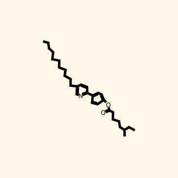 CCCCCCCCCCCc1ccc(-c2ccc(OC(=O)CCCCC(C)CC)cc2)nc1